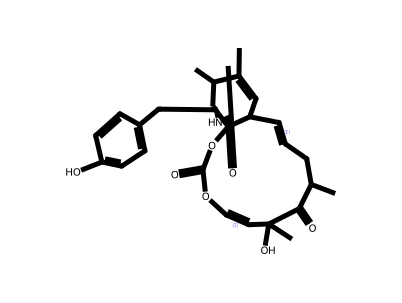 CC1=CC2/C=C/CC(C)C(=O)C(C)(O)/C=C\OC(=O)OC23C(=O)NC(Cc2ccc(O)cc2)C3C1C